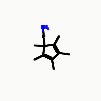 CC1=C(C)[C](C)([Ir][NH2])C(C)=C1C